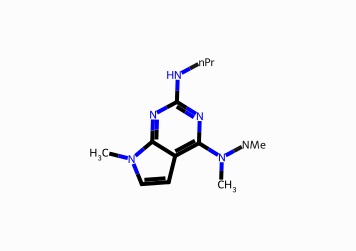 CCCNc1nc(N(C)NC)c2ccn(C)c2n1